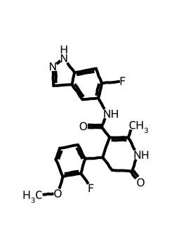 COc1cccc(C2CC(=O)NC(C)=C2C(=O)Nc2cc3cn[nH]c3cc2F)c1F